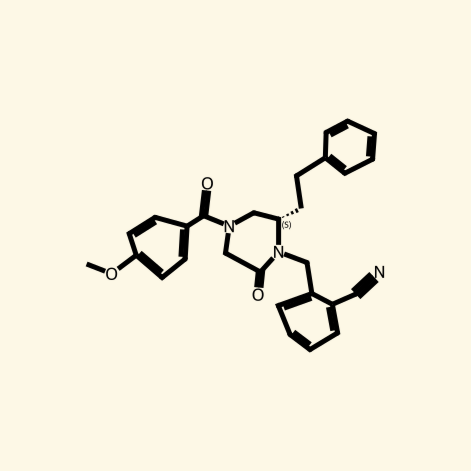 COc1ccc(C(=O)N2CC(=O)N(Cc3ccccc3C#N)[C@@H](CCc3ccccc3)C2)cc1